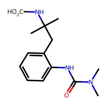 CN(C)C(=O)Nc1ccccc1CC(C)(C)NC(=O)O